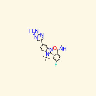 CNC(=O)c1ccc(F)cc1-c1nc2cc(-c3cnc(N)nc3)ccc2n1C(C)(C)C